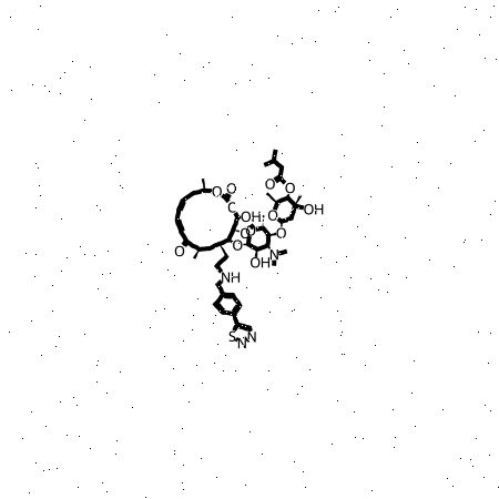 CO[C@@H]1[C@@H](O[C@@H]2O[C@H](C)[C@@H](O[C@H]3C[C@@](C)(O)[C@@H](OC(=O)CC(C)C)[C@H](C)O3)[C@H](N(C)C)[C@H]2O)[C@@H](CCNCc2ccc(-c3cnns3)cc2)C[C@@H](C)C(=O)C=CC=CC[C@@H](C)OC(=O)C[C@H]1O